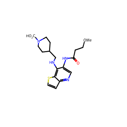 COCCC(=O)Nc1cnc2ccsc2c1NCC1CCN(C(=O)O)CC1